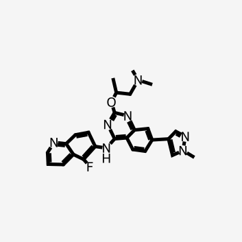 CC(CN(C)C)Oc1nc(Nc2ccc3ncccc3c2F)c2ccc(-c3cnn(C)c3)cc2n1